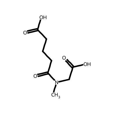 CN(CC(=O)O)C(=O)CCCC(=O)O